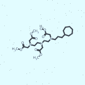 COC(=O)CN(CCCC1CCCCCC1)CCN(CCN(CC(=O)OC)CC(=O)OC)CC(=O)OC